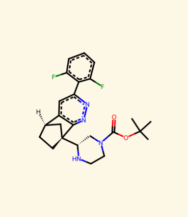 CC(C)(C)OC(=O)N1CCN[C@H]([C@]23CC[C@H](C2)c2cc(-c4c(F)cccc4F)nnc23)C1